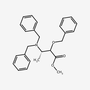 COC(=O)C(OCc1ccccc1)[C@H](C)N(Cc1ccccc1)Cc1ccccc1